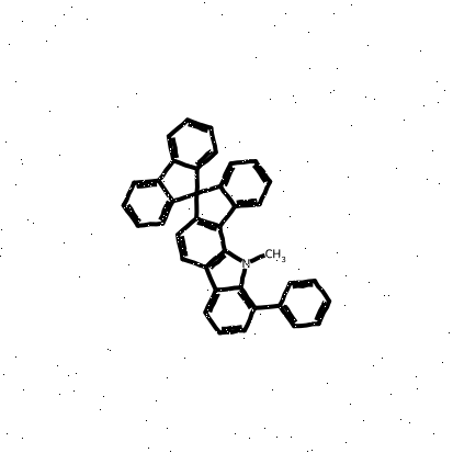 Cn1c2c(-c3ccccc3)cccc2c2ccc3c(c21)-c1ccccc1C31c2ccccc2-c2ccccc21